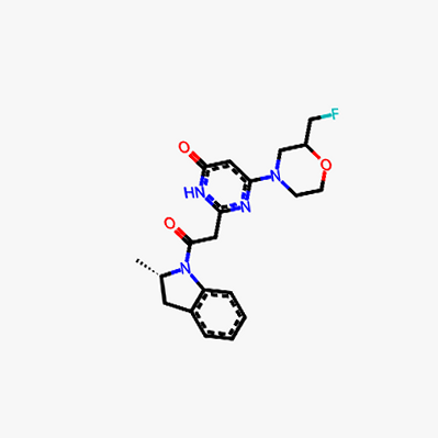 C[C@H]1Cc2ccccc2N1C(=O)Cc1nc(N2CCOC(CF)C2)cc(=O)[nH]1